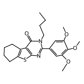 CCCCn1c(-c2cc(OC)c(OC)c(OC)c2)nc2sc3c(c2c1=O)CCCC3